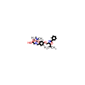 CC(C)c1oc(-c2ccccc2)nc1COc1ccc(CN(CC(=O)O)S(=O)(=O)N(C)C)cc1